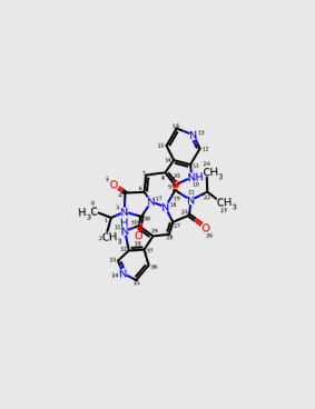 CC(C)N1C(=O)/C(=C/c2c[nH]c3cnccc23)N(N2C(=O)N(C(C)C)C(=O)/C2=C/c2c[nH]c3cnccc23)C1=O